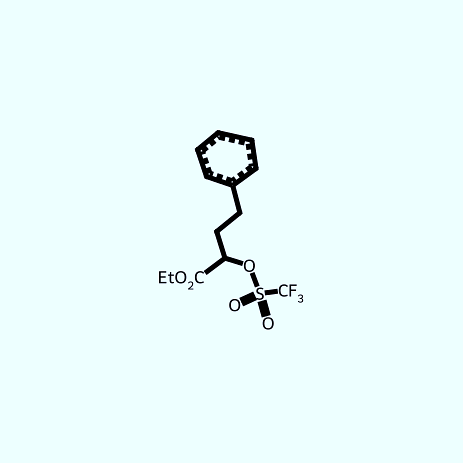 CCOC(=O)C(CCc1ccccc1)OS(=O)(=O)C(F)(F)F